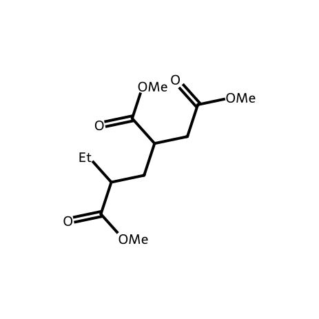 CCC(CC(CC(=O)OC)C(=O)OC)C(=O)OC